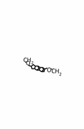 C=COCC1CC2C(C1)C1CC2C2C3CC(COC=C)C(C3)C12